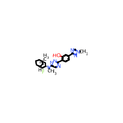 CN(c1cnc(-c2ccc(-c3ncn(C)n3)cc2O)nn1)[C@H]1C[C@]2(C)CCC[C@@H](C2)[C@H]1F